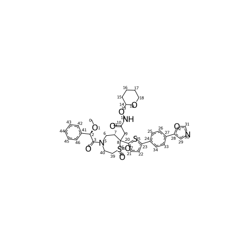 CO[C@@H](C(=O)N1CCC(CC(=O)NOC2CCCCO2)(c2ccc(-c3ccc(-c4cnco4)cc3)s2)S(=O)(=O)CC1)c1ccccc1